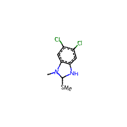 CSC1Nc2cc(Cl)c(Cl)cc2N1C